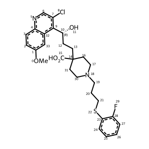 COc1ccc2ncc(Cl)c([C@H](O)CCC3(C(=O)O)CCN(CCCSc4ccccc4F)CC3)c2c1